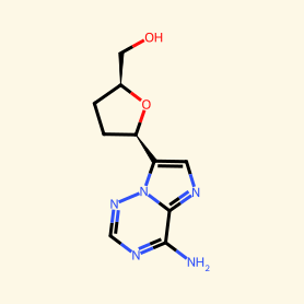 Nc1ncnn2c([C@H]3CC[C@@H](CO)O3)cnc12